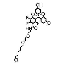 O=C(NCCOCCOCCCCCCCl)c1c(F)c(F)c(C(=O)O)c(-c2c3ccc(=O)cc-3oc3cc(O)ccc23)c1F